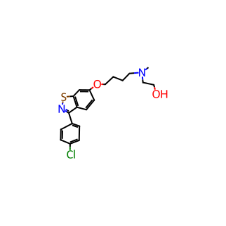 CN(CCO)CCCCOc1ccc2c(-c3ccc(Cl)cc3)nsc2c1